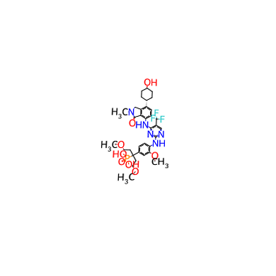 COCCC(CCOC)(c1ccc(Nc2ncc(C(F)(F)F)c(Nc3ccc([C@H]4CC[C@H](O)CC4)c4c3C(=O)N(C)C4)n2)c(OC)c1)P(=O)(O)O